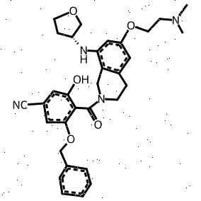 CN(C)CCOc1cc2c(c(N[C@@H]3CCOC3)c1)CN(C(=O)c1c(O)cc(C#N)cc1OCc1ccccc1)CC2